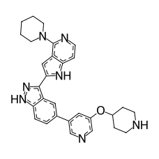 c1cc2[nH]c(-c3n[nH]c4ccc(-c5cncc(OC6CCNCC6)c5)cc34)cc2c(N2CCCCC2)n1